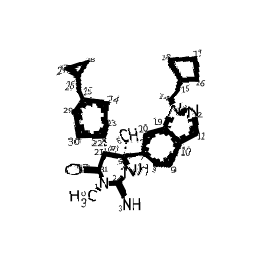 CN1C(=N)N[C@](C)(c2ccc3cnn(CC4CCC4)c3c2)[C@@H](c2ccc(C3CC3)cc2)C1=O